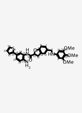 COc1cc(NCc2ccc3c(c2)CC(C(=O)Nc2cc(-c4cccs4)ccc2N)O3)cc(OC)c1OC